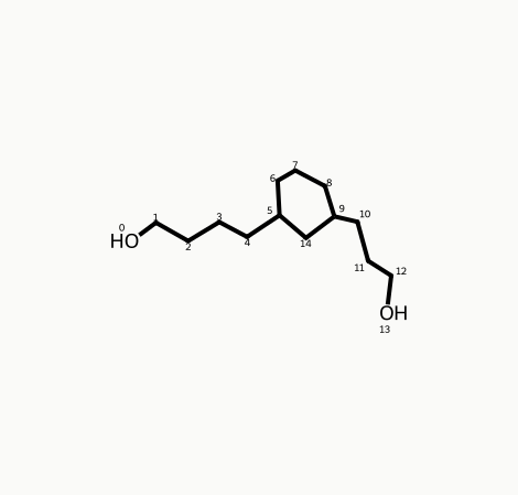 OCCCCC1CCCC(CCCO)C1